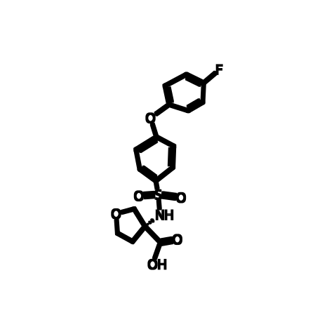 O=C(O)[C@@]1(NS(=O)(=O)c2ccc(Oc3ccc(F)cc3)cc2)CCOC1